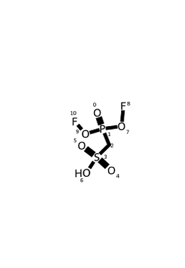 O=P(CS(=O)(=O)O)(OF)OF